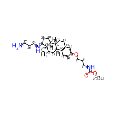 CC(C)(C)OC(=O)NCCCOc1ccc2c(c1)CC[C@@H]1[C@@H]2CC[C@]2(C)[C@@H](NCCCN)CC[C@@H]12